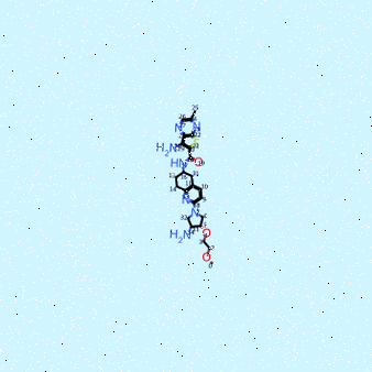 COCCOC1CN(c2ccc3c(n2)CCC(NC(=O)c2sc4nc(C)cnc4c2N)C3)CC1N